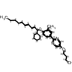 CCCCCCCCCC(Oc1ccc(-c2ncc(OCCCC)cn2)cc1C)C1CCCCC1